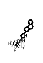 CC(C)(O)C(C)(C)OBc1ccc(-c2ccc3c(c2)CCc2ccccc2-3)nc1